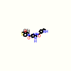 Cc1csc2c1[C@]13C(=O)[C@@H]1CN(C(=O)c1ccc4c(NC(=O)c5ccc6cc[nH]c6c5)c[nH]c4c1)C3=CC2